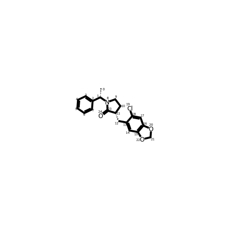 C[C@@H](c1ccccc1)N1CC[C@H](Cc2cc3c(cc2Cl)OCO3)C1=O